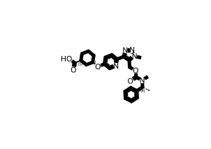 C[C@H](c1ccccc1)N(C)C(=O)OCc1c(-c2ccc(O[C@H]3CCC[C@H](C(=O)O)C3)cn2)nnn1C